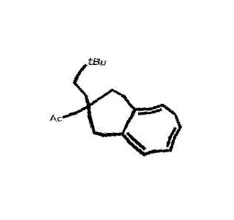 CC(=O)C1(CC(C)(C)C)Cc2ccccc2C1